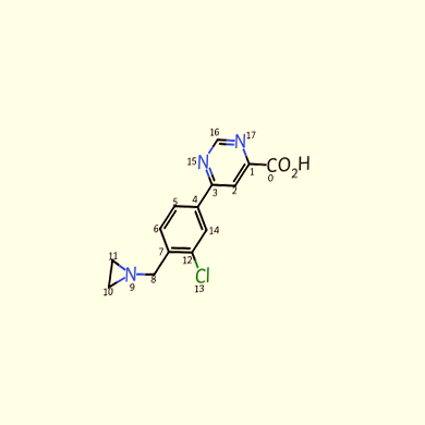 O=C(O)c1cc(-c2ccc(CN3CC3)c(Cl)c2)ncn1